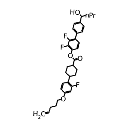 C=CCCCOc1ccc(C2CCC(C(=O)Oc3ccc(-c4ccc(C(O)CCC)cc4)c(F)c3F)CC2)c(F)c1